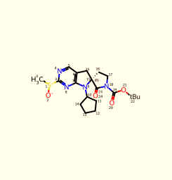 C[S+]([O-])c1ncc2c(n1)N(C1CCCC1)[C@@]1(CCN(C(=O)OC(C)(C)C)C1=O)C2